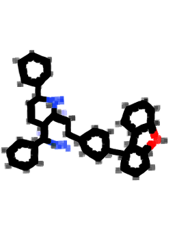 N/C(=C1/C=CC(c2ccccc2)N/C1=C/Cc1ccc(-c2cccc3oc4ccccc4c23)cc1)c1ccccc1